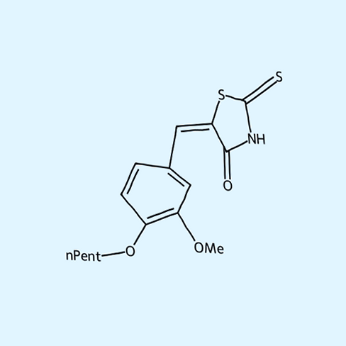 CCCCCOc1ccc(C=C2SC(=S)NC2=O)cc1OC